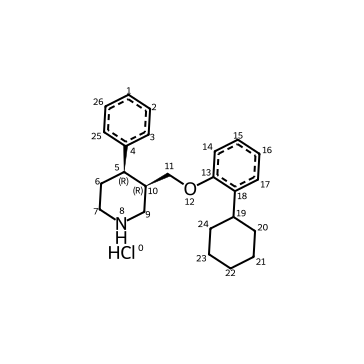 Cl.c1ccc([C@@H]2CCNC[C@@H]2COc2ccccc2C2CCCCC2)cc1